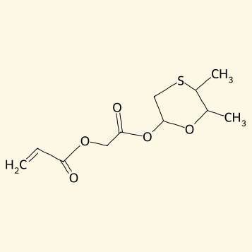 C=CC(=O)OCC(=O)OC1CSC(C)C(C)O1